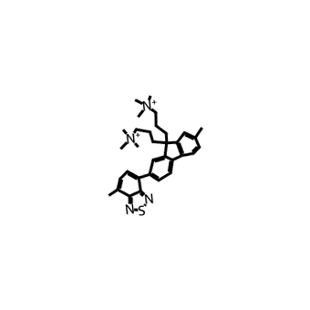 Cc1ccc2c(c1)C(CCC[N+](C)(C)C)(CCC[N+](C)(C)C)c1cc(-c3ccc(C)c4nsnc34)ccc1-2